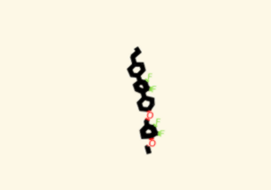 C/C=C/C1CCC(c2ccc(C3CCC(OCc4ccc(OCC)c(F)c4F)CC3)c(F)c2F)CC1